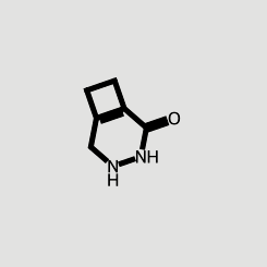 O=C1NNCC2=C1CC2